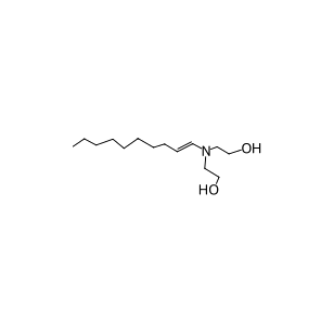 CCCCCCCCC=CN(CCO)CCO